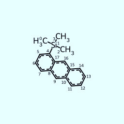 C[Si](C)(C)c1cccc2cc3ccccc3cc12